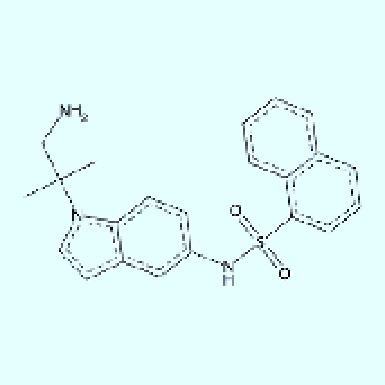 CC(C)(CN)n1ccc2cc(NS(=O)(=O)c3cccc4ccccc34)ccc21